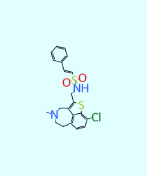 CN1CCc2ccc(Cl)c3sc(CNS(=O)(=O)C=Cc4ccccc4)c(c23)C1